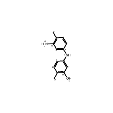 Cc1ccc(Nc2ccc(C)c(O)c2)cc1N